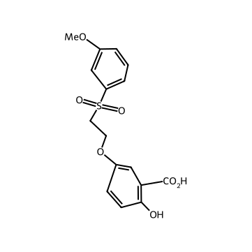 COc1cccc(S(=O)(=O)CCOc2ccc(O)c(C(=O)O)c2)c1